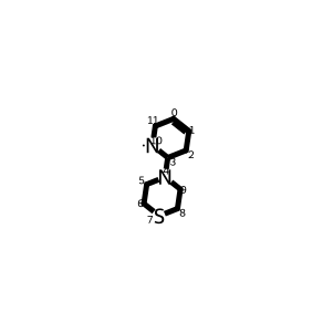 C1=CCC(N2CCSCC2)[N]C1